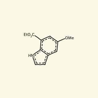 CCOC(=O)c1cc(OC)cc2cc[nH]c12